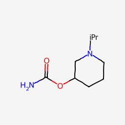 CC(C)N1CCCC(OC(N)=O)C1